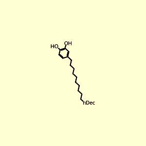 CCCCCCCCCCCCCCCCCCCCc1ccc(O)c(O)c1